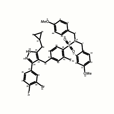 COc1ccc(CN(Cc2ccc(OC)cc2)S(=O)(=O)c2ccc(Cc3c(-c4ccc(F)c(Br)c4)n[nH]c3CC3CC3)cc2F)cc1